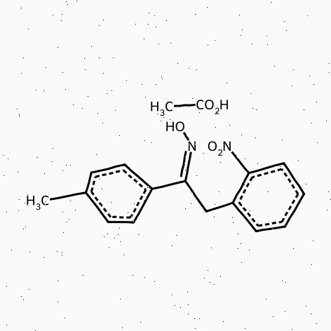 CC(=O)O.Cc1ccc(C(Cc2ccccc2[N+](=O)[O-])=NO)cc1